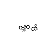 Clc1ccccc1-c1nc2c([nH]1)CN(C1CCc3cccc(Cl)c3C1)CC2